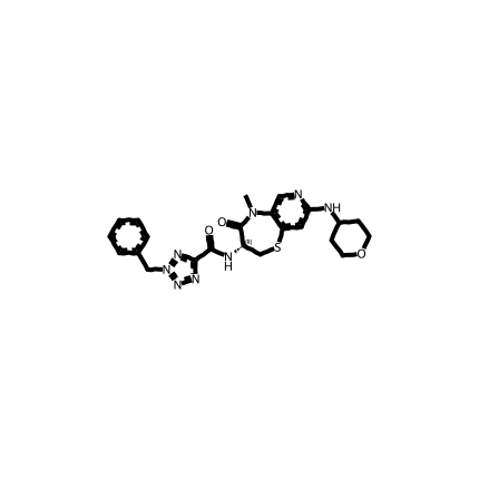 CN1C(=O)[C@@H](NC(=O)c2nnn(Cc3ccccc3)n2)CSc2cc(NC3CCOCC3)ncc21